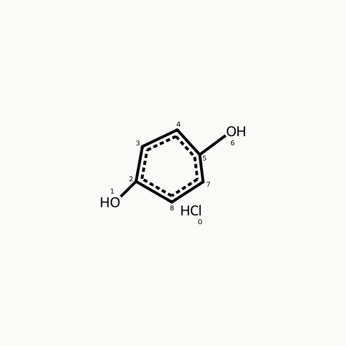 Cl.Oc1ccc(O)cc1